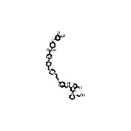 CCc1cnn2c(NCc3ccc(OCCCN4CCN(CC5CCN(c6ncc(C(=O)NC7CCC(Oc8ccc(C#N)c(Cl)c8)CC7)cn6)CC5)CC4)nc3)cc(N3CCCC[C@H]3CCO)nc12